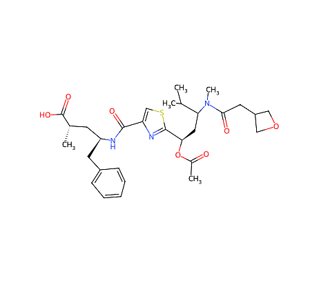 CC(=O)O[C@H](CC(C(C)C)N(C)C(=O)CC1COC1)c1nc(C(=O)N[C@@H](Cc2ccccc2)C[C@H](C)C(=O)O)cs1